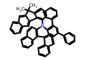 CC1(C)c2cc3ccccc3cc2-c2c(N(c3ccc(-c4ccccc4)cc3-c3ccccc3)c3ccc4ccccc4c3-c3cccc4ccccc34)cccc21